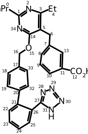 CCCc1nc(CC)c(Cc2cccc(C(=O)O)c2)c(OCc2ccc(-c3ccccc3-c3nnn[nH]3)cc2)n1